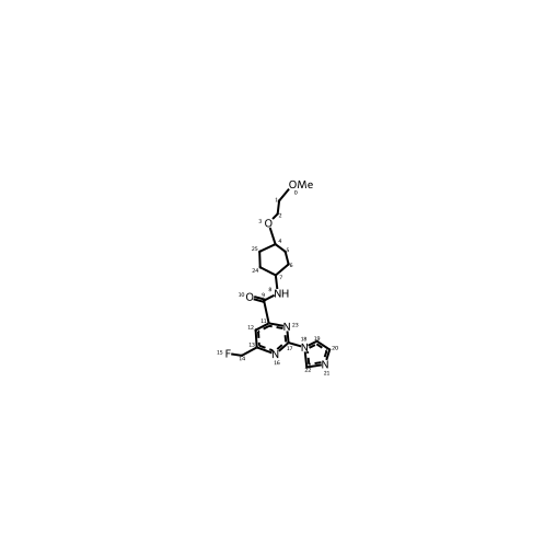 COCCOC1CCC(NC(=O)c2cc(CF)nc(-n3ccnc3)n2)CC1